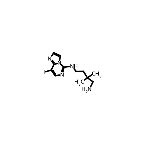 CC(C)(CN)CCNc1ncc(I)c2nccn12